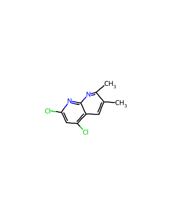 Cc1cc2c(Cl)cc(Cl)nc2nc1C